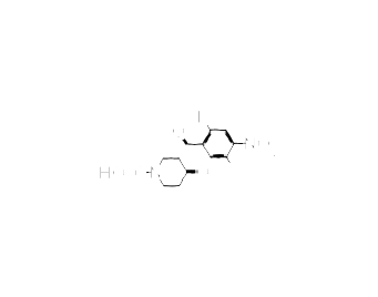 O=C1CCN(C(=O)O)C[C@@H]1C(=O)c1cc(F)c([N+](=O)[O-])cc1F